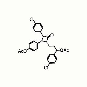 CC(=O)Oc1ccc([C@@H]2[C@@H](CCC(OC(C)=O)c3ccc(Cl)cc3)C(=O)N2c2ccc(Cl)cc2)cc1